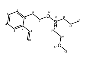 C=Cc1ccccc1CCO[SiH](CCC)CCOC